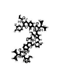 CCC(=O)N[C@@H](C(=O)N1CCN(C)[C@@H](C)C1)[C@@H](C)c1ccc(NC(=O)[C@@H](NC(=O)c2cc(C[C@@H]3CN(C(=O)[C@H](NC(C)=O)[C@@H](C)c4ccc(NC(=O)[C@@H](NC(=O)c5nonc5CC)C(C5CC5)C5CC5)c(F)c4)CCN3C)nn2CC)C(C2CC2)C2CC2)c(F)c1